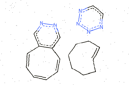 C1=C/CCCCCC/1.C1=C\C=C/c2cnncc2\C=C/1.c1cnnnn1